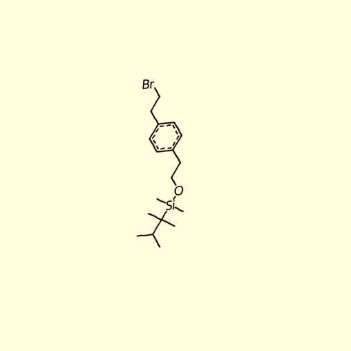 CC(C)C(C)(C)[Si](C)(C)OCCc1ccc(CCBr)cc1